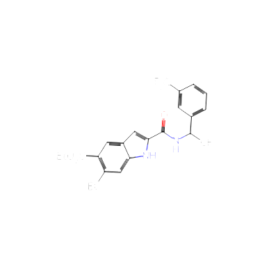 CCOC(=O)c1cc2cc(C(=O)NC(c3cccc(C(F)(F)F)c3)C(F)(F)F)[nH]c2cc1CC